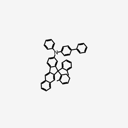 CC1=C(C2(c3ccccc3C)c3cc(N(c4ccccc4)c4ccc(-c5ccccc5)cc4)ccc3-c3cc4ccccc4cc32)CCC=C1